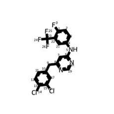 Fc1ccc(Nc2cc(Cc3ccc(Cl)c(Cl)c3)ncn2)cc1C(F)(F)F